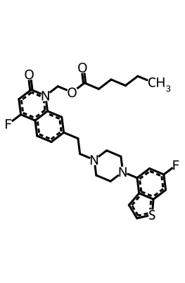 CCCCCC(=O)OCn1c(=O)cc(F)c2ccc(CCN3CCN(c4cc(F)cc5sccc45)CC3)cc21